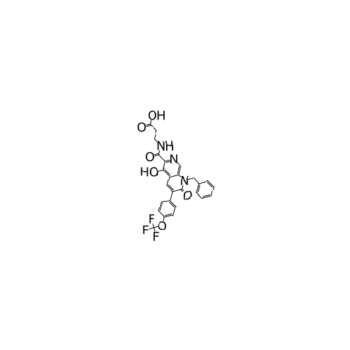 O=C(O)CCNC(=O)c1ncc2c(cc(-c3ccc(OC(F)(F)F)cc3)c(=O)n2Cc2ccccc2)c1O